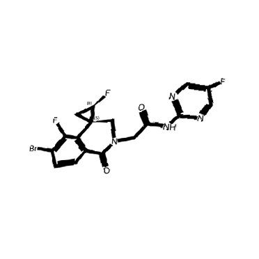 O=C(CN1C[C@]2(C[C@H]2F)c2c(ccc(Br)c2F)C1=O)Nc1ncc(F)cn1